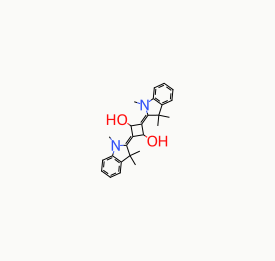 CN1C(=C2C(O)C(=C3N(C)c4ccccc4C3(C)C)C2O)C(C)(C)c2ccccc21